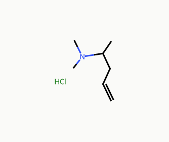 C=CCC(C)N(C)C.Cl